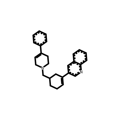 C1=C(c2ccccc2)CCN(CC2CCC=C(c3cnc4ccccc4c3)C2)C1